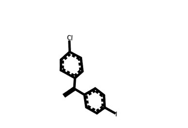 C=C(c1ccc(Cl)cc1)c1ccc(I)cc1